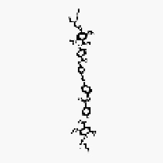 CCCCC(CC)COc1cc(OC)c(C(=O)Oc2ccc(C(=O)Oc3ccc(C#Cc4ccc(OC(=O)c5ccc(OC(=O)c6cc(OC)c(OCC(CC)CCCC)cc6OC)cc5)cc4)cc3)cc2)cc1OC